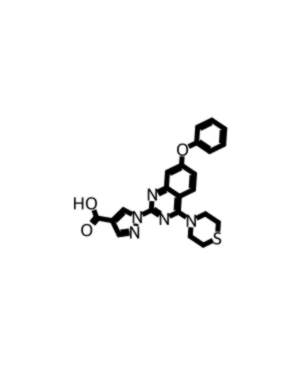 O=C(O)c1cnn(-c2nc(N3CCSCC3)c3ccc(Oc4ccccc4)cc3n2)c1